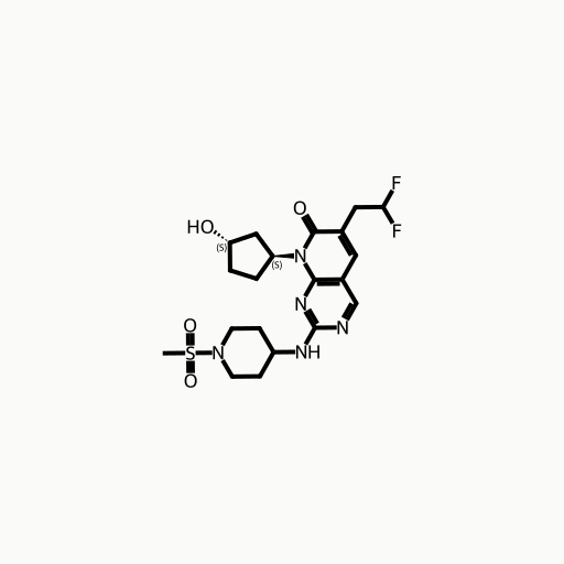 CS(=O)(=O)N1CCC(Nc2ncc3cc(CC(F)F)c(=O)n([C@H]4CC[C@H](O)C4)c3n2)CC1